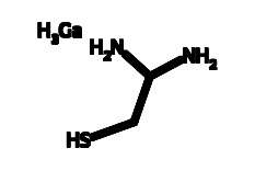 NC(N)CS.[GaH3]